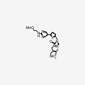 COCCNc1ncc(-c2ccc(Cn3cnn(CC(CN)=C(F)F)c3=O)s2)cn1